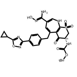 CC(C)(C)OC(=O)N[C@H]1CS(=O)(=O)C2=C(C1=O)C(Cc1ccc(-c3noc(C4CC4)n3)cc1)=CC(C(N)=NO)=CN2